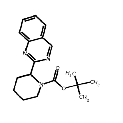 CC(C)(C)OC(=O)N1CCCCC1c1ncc2ccccc2n1